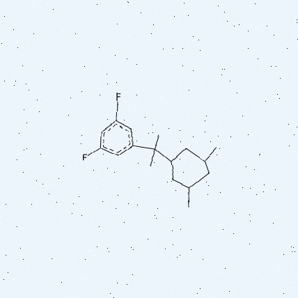 CC1CC(C)CC(C(C)(C)c2cc(F)cc(F)c2)C1